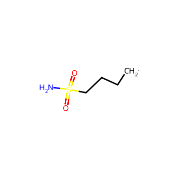 [CH2]CCCS(N)(=O)=O